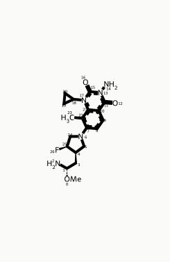 CO[C@H](N)C[C@@H]1CN(c2ccc3c(=O)n(N)c(=O)n(C4CC4)c3c2C)C[C@@H]1F